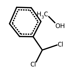 CO.ClC(Cl)c1ccccc1